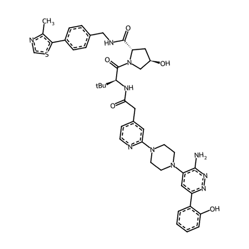 Cc1ncsc1-c1ccc(CNC(=O)[C@@H]2C[C@@H](O)CN2C(=O)[C@@H](NC(=O)Cc2ccnc(N3CCN(c4cc(-c5ccccc5O)nnc4N)CC3)c2)C(C)(C)C)cc1